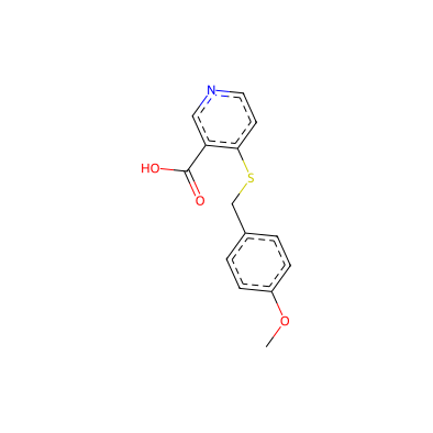 COc1ccc(CSc2ccncc2C(=O)O)cc1